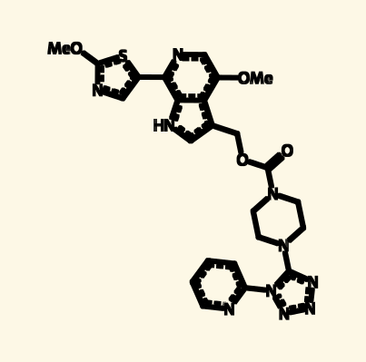 COc1ncc(-c2ncc(OC)c3c(COC(=O)N4CCN(c5nnnn5-c5ccccn5)CC4)c[nH]c23)s1